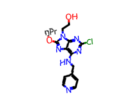 CCCOc1nc2c(NCc3ccncc3)nc(Cl)nc2n1CCO